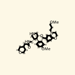 COCCCN1CCOc2ccc(CO[C@H]3CNC[C@@H](CNC(=O)CC4CCOCC4)[C@@H]3c3ccc(OC)cc3)cc21